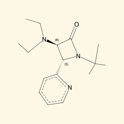 CCN(CC)[C@H]1C(=O)N(C(C)(C)C)[C@@H]1c1ccccn1